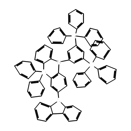 c1ccc([Si](c2ccccc2)(c2ccccc2)c2cc(N3c4ccccc4[Si](c4ccccc4)(c4ccccc4)c4cc(-n5c6ccccc6c6ccccc65)ccc43)cc([Si](c3ccccc3)(c3ccccc3)c3ccccc3)c2)cc1